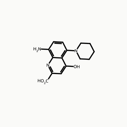 Nc1ccc(N2CCCCC2)c2c(O)cc(C(=O)O)nc12